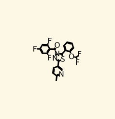 Cc1ccc(C2=NN(C(=O)c3c(F)cc(F)cc3F)C(c3ccccc3OC(F)F)S2)cn1